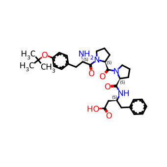 CC(C)(C)Oc1ccc(C[C@H](N)C(=O)N2CCC[C@H]2C(=O)N2CCC[C@H]2C(=O)N[C@H](CC(=O)O)Cc2ccccc2)cc1